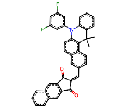 CC1(C)c2ccccc2N(c2cc(F)cc(F)c2)c2ccc3cc(C=C4C(=O)c5cc6ccccc6cc5C4=O)ccc3c21